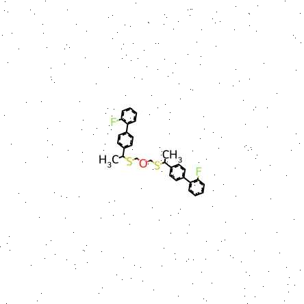 CC(SCOCSC(C)c1ccc(-c2ccccc2F)cc1)c1ccc(-c2ccccc2F)cc1